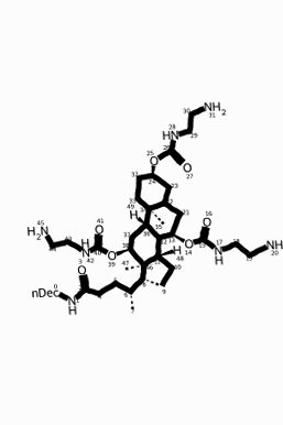 CCCCCCCCCCNC(=O)CC[C@@H](C)[C@H]1CC[C@H]2C3[C@H](OC(=O)NCCN)CC4C[C@H](OC(=O)NCCN)CC[C@]4(C)[C@H]3C[C@H](OC(=O)NCCN)[C@]12C